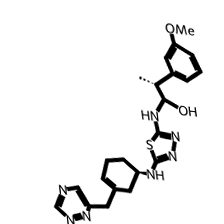 COc1cccc([C@@H](C)C(O)Nc2nnc(N[C@@H]3CCC=C(Cc4cncnn4)C3)s2)c1